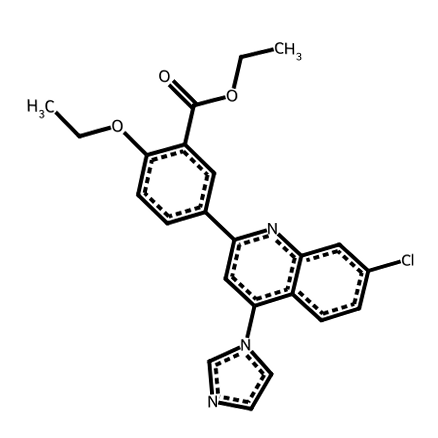 CCOC(=O)c1cc(-c2cc(-n3ccnc3)c3ccc(Cl)cc3n2)ccc1OCC